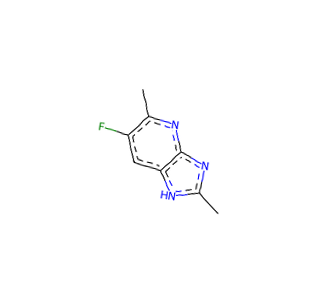 Cc1nc2nc(C)c(F)cc2[nH]1